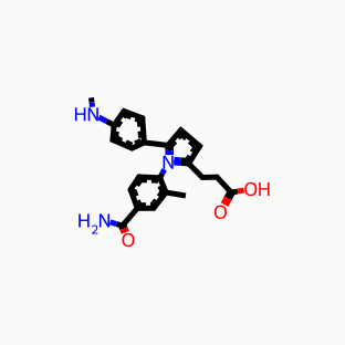 CNc1ccc(-c2ccc(CCC(=O)O)n2-c2ccc(C(N)=O)cc2C)cc1